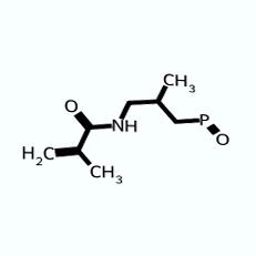 C=C(C)C(=O)NCC(C)CP=O